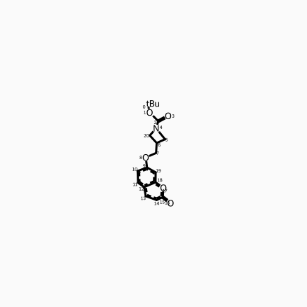 CC(C)(C)OC(=O)N1CC(COc2ccc3ccc(=O)oc3c2)C1